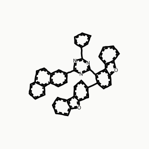 c1ccc(-c2nc(-c3ccc4c(ccc5ccccc54)c3)nc(-c3c(-c4ccc5c(c4)oc4ccccc45)ccc4oc5ccccc5c34)n2)cc1